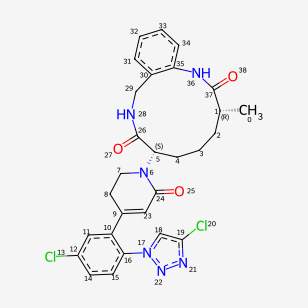 C[C@@H]1CCC[C@H](N2CCC(c3cc(Cl)ccc3-n3cc(Cl)nn3)=CC2=O)C(=O)NCc2ccccc2NC1=O